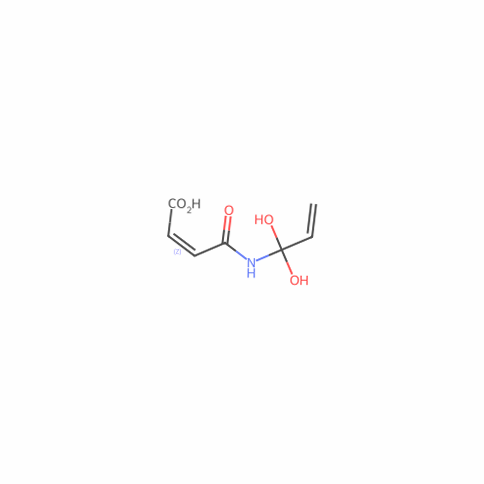 C=CC(O)(O)NC(=O)/C=C\C(=O)O